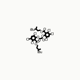 CCC(C)C(C)CCOC(=O)c1c(Cl)c(Cl)cc(Cl)c1OC(=O)C(=O)Oc1c(Cl)cc(Cl)c(Cl)c1C(=O)OCCC(C)C(C)CC